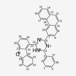 c1ccc(C2N=C(c3ccc4ccc5ccccc5c4c3)N=C(c3cccc4oc5ccccc5c34)N2)cc1